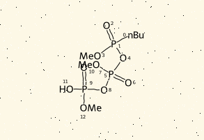 CCCCP(=O)(OC)OP(=O)(OC)OP(=O)(O)OC